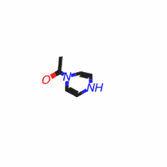 CC(=O)N1C=CNC=C1